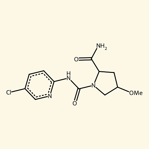 COC1CC(C(N)=O)N(C(=O)Nc2ccc(Cl)cn2)C1